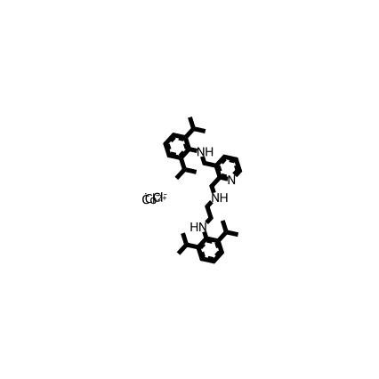 CC(C)c1cccc(C(C)C)c1NCCNCc1ncccc1CNc1c(C(C)C)cccc1C(C)C.[Cl-].[Cl-].[Co+2]